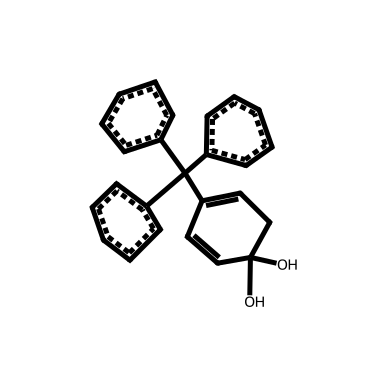 OC1(O)C=CC(C(c2ccccc2)(c2ccccc2)c2ccccc2)=CC1